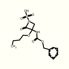 CCCCOC1(NC(=O)OCc2ccccc2)CN(S(=O)(=O)O)C1=O